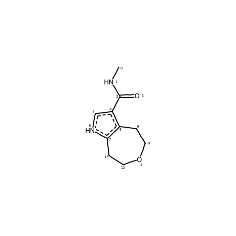 CNC(=O)c1c[nH]c2c1CCOCC2